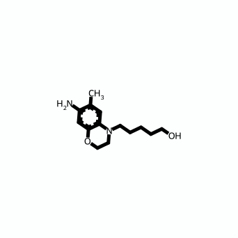 Cc1cc2c(cc1N)OCCN2CCCCCO